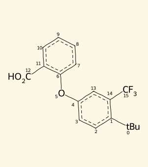 CC(C)(C)c1ccc(Oc2ccccc2C(=O)O)cc1C(F)(F)F